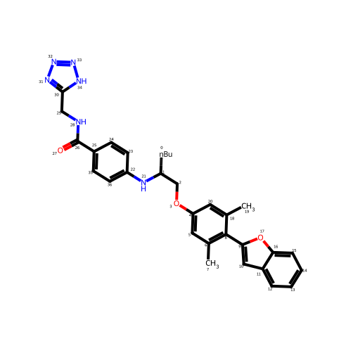 CCCCC(COc1cc(C)c(-c2cc3ccccc3o2)c(C)c1)Nc1ccc(C(=O)NCc2nnn[nH]2)cc1